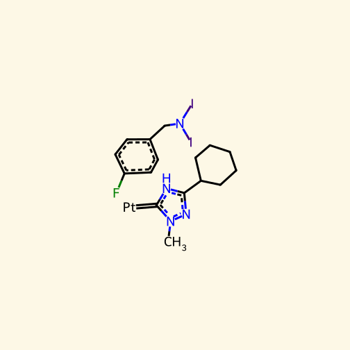 Cn1nc(C2CCCCC2)[nH][c]1=[Pt].Fc1ccc(CN(I)I)cc1